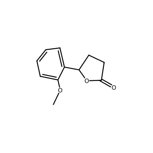 COc1ccccc1C1CCC(=O)O1